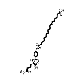 CC(=O)CCC[C@H](NC(=O)[C@H]1CC[C@H](CNC(=O)CCCCCCCCCCCCCCCCC(=O)O)CC1)C(=O)O